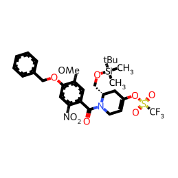 COc1cc(C(=O)N2CC=C(OS(=O)(=O)C(F)(F)F)C[C@H]2CO[Si](C)(C)C(C)(C)C)c([N+](=O)[O-])cc1OCc1ccccc1